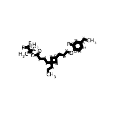 CCCC1(CCCC(=O)OC(C)(C)C(F)F)CC(CCCOc2ccc(CC)cc2F)C1